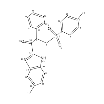 Cc1ccc(S(=O)(=O)CC(C(=O)c2nc3cc(C)ccc3[nH]2)c2ccccc2)cc1